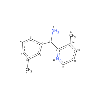 NC(c1cccc(C(F)(F)F)c1)c1ncccc1C(F)(F)F